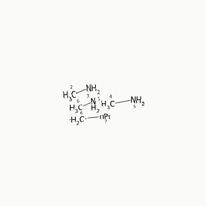 CN.CN.CN.[CH2]CCC